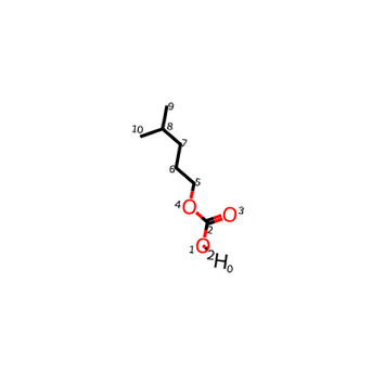 [2H]OC(=O)OCCCC(C)C